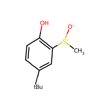 C[S+]([O-])c1cc(C(C)(C)C)ccc1O